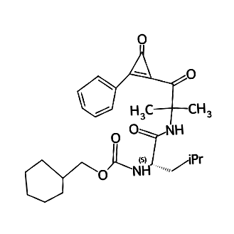 CC(C)C[C@H](NC(=O)OCC1CCCCC1)C(=O)NC(C)(C)C(=O)c1c(-c2ccccc2)c1=O